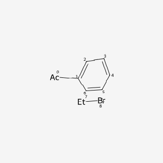 CC(=O)c1ccccc1.CCBr